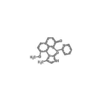 COc1ccc2ccc(=O)n(Cc3ccccn3)c2c1-n1c(C)c[nH]c1=O